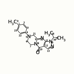 Cc1ccc(N2CCn3c(nc4c(cnn4C(C)C)c3=O)C2)cc1